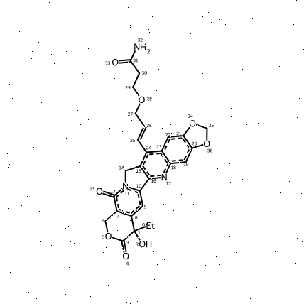 CCC1(O)C(=O)OCc2c1cc1n(c2=O)Cc2c-1nc1cc3c(cc1c2C=CCOCCC(N)=O)OCO3